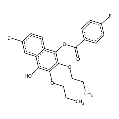 CCCOc1c(OCCC)c(OC(=O)c2ccc(F)cc2)c2ccc(Cl)cc2c1O